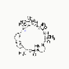 CC(C)[C@@H]1NC(=O)C(C)(C(C)(O)O)/C=C/c2ccc3ccc(nc3c2)[C@@H](C)OC(=O)[C@@H]2CCCN(N2)C(=O)[C@H](C)NC1=O